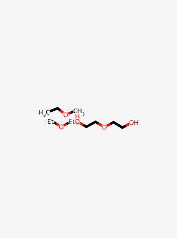 CCOC.CCOCC.OCCOCCO